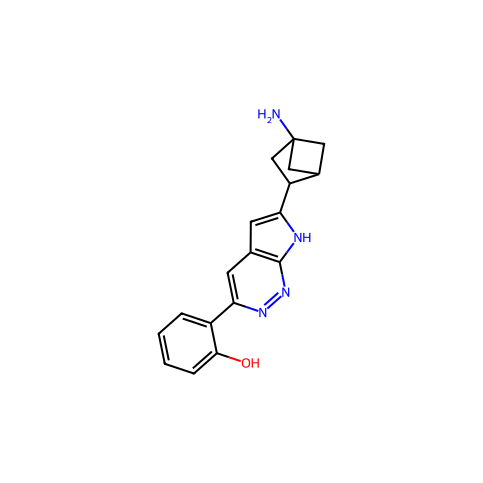 NC12CC(C1)C(c1cc3cc(-c4ccccc4O)nnc3[nH]1)C2